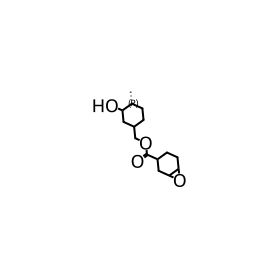 C[C@@H]1CCC(COC(=O)C2CCC3OC3C2)CC1O